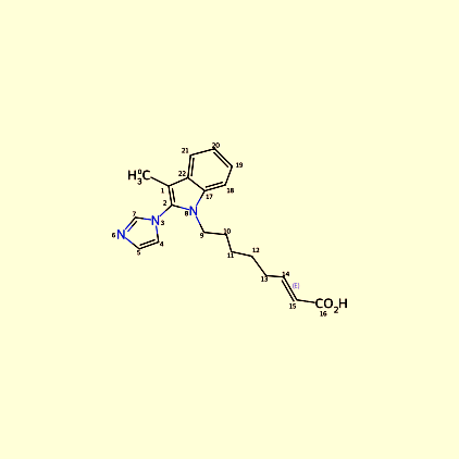 Cc1c(-n2ccnc2)n(CCCCC/C=C/C(=O)O)c2ccccc12